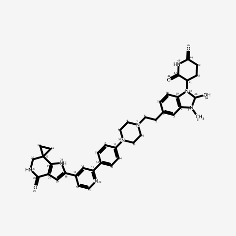 CN1c2cc(CCN3CCN(c4ccc(-c5cc(-c6cc7c([nH]6)C6(CC6)CNC7=O)ccn5)cc4)CC3)ccc2N(C2CCC(=O)NC2=O)C1O